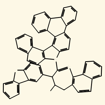 CCC1Cc2ccc3ccccc3c2N=C(n2c3ccc4ccccc4c3c3c4c5ccccc5c5ccccc5c4ccc32)C1c1ccc2oc3ccccc3c2c1